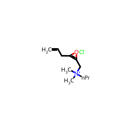 C=CCC1=C(C[N+](C)(C)CCC)O1.[Cl-]